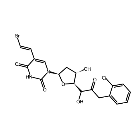 O=C(Cc1ccccc1Cl)C(O)[C@H]1O[C@@H](n2cc(/C=C/Br)c(=O)[nH]c2=O)C[C@@H]1O